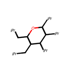 CC(C)CC1OC(C(C)C)C(C(C)C)C(C(C)C)C1CC(C)C